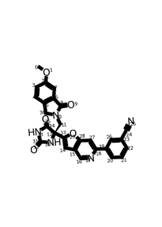 COc1ccc2c(c1)C(=O)N(C[C@@]1(c3cc4cnc(-c5cccc(C#N)c5)cc4o3)NC(=O)NC1=O)C2